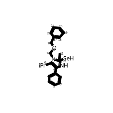 CC(C)C1=C(c2ccccc2)NC(C)([SeH])N1COCc1ccccc1